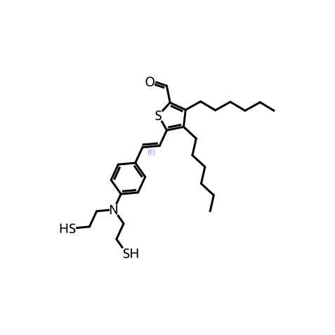 CCCCCCc1c(C=O)sc(/C=C/c2ccc(N(CCS)CCS)cc2)c1CCCCCC